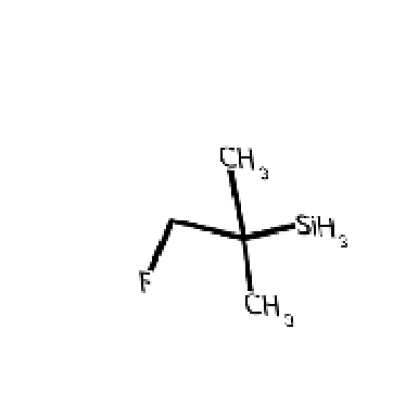 CC(C)([SiH3])CF